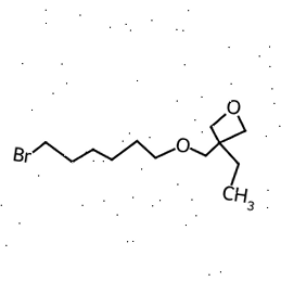 CCC1(COCCCCCCBr)COC1